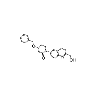 O=c1cc(OCc2ccccc2)ccn1-c1ccc2nc(CO)ccc2c1